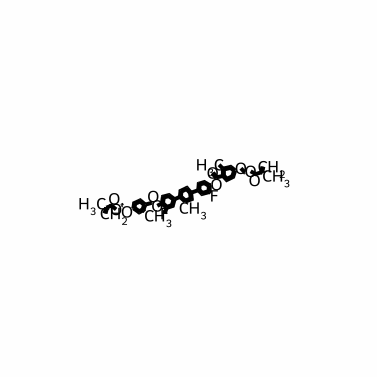 C=C(C)C(=O)OCOc1ccc(C(=O)Oc2ccc(-c3ccc(-c4ccc(OC(=O)c5ccc(OCOC(=O)C(=C)C)cc5C)c(F)c4)c(C)c3)cc2F)c(C)c1